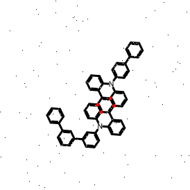 c1ccc(-c2ccc(N(c3ccccc3)c3ccccc3-c3ccc(-c4ccccc4N(c4ccccc4)c4cccc(-c5cccc(-c6ccccc6)c5)c4)cc3)cc2)cc1